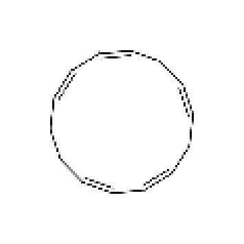 [C]1=CCC=CCC=CC=CCCC=C1